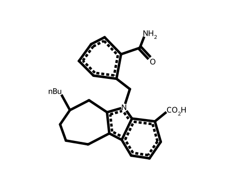 CCCCC1CCCc2c(n(Cc3ccccc3C(N)=O)c3c(C(=O)O)cccc23)C1